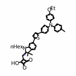 CCCCCCN1/C(=C/c2c(O)c(=O)c2=O)C(C)(C)c2ccc(-c3ccc(-c4ccc(N(c5ccc(C)cc5)c5ccc(OCC)cc5)cc4)s3)cc21